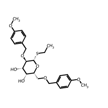 CCS[C@@H]1O[C@H](COCc2ccc(OC)cc2)[C@H](O)[C@H](O)[C@H]1OCc1ccc(OC)cc1